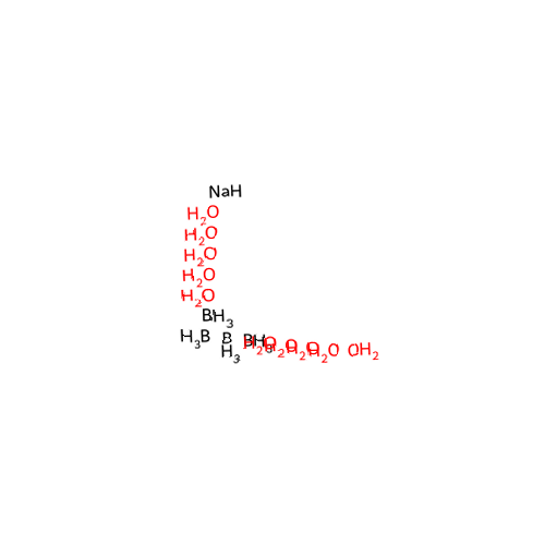 B.B.B.B.O.O.O.O.O.O.O.O.O.O.[NaH]